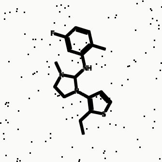 CCc1sccc1N1CCN(C)C1Nc1cc(F)ccc1C